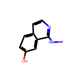 Oc1ccc2ccnc(NI)c2c1